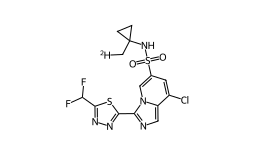 [2H]CC1(NS(=O)(=O)c2cc(Cl)c3cnc(-c4nnc(C(F)F)s4)n3c2)CC1